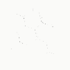 CC(C)CC(CC(C)C)=C(CC(C)C)[C](=O)[SnH]